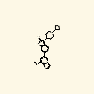 COc1cc(-c2ccc3c(c2)[nH]c(=O)n3C2CCN(C3COC3)CC2)cn2ncnc12